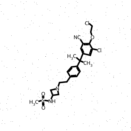 CC(C)(c1ccc(CCN2CC(NS(C)(=O)=O)C2)cc1)c1cc(Cl)c(OCCCl)c(C#N)c1